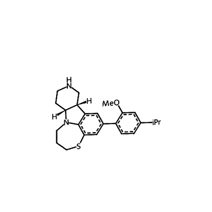 COc1cc(C(C)C)ccc1-c1cc2c3c(c1)[C@H]1CNCC[C@H]1N3CCCS2